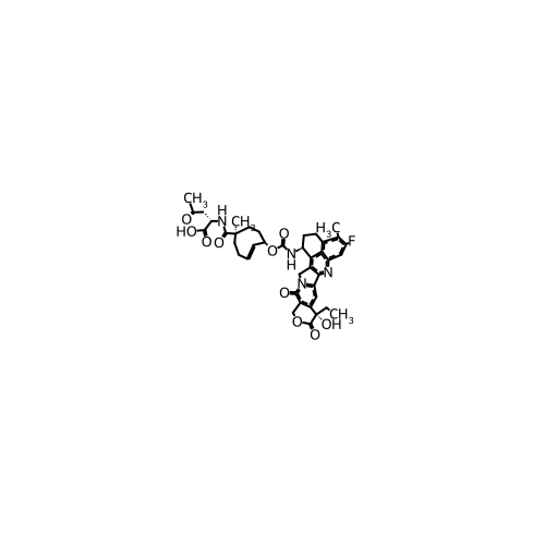 CC[C@@]1(O)C(=O)OCc2c1cc1n(c2=O)Cc2c-1nc1cc(F)c(C)c3c1c2[C@@H](NC(=O)O[C@H]1/C=C/CC[C@@](C)(C(=O)N[C@@H](CC(C)=O)C(=O)O)CC1)CC3